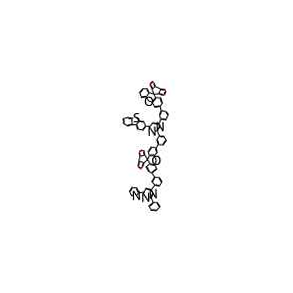 c1ccc(-c2nc(-c3cccc(-c4ccc5c(c4)Oc4cc(-c6cccc(-c7nc(-c8cccc(-c9ccc%10c(c9)Oc9ccccc9C%109c%10ccccc%10-c%10ccccc%109)c8)cc(-c8ccc9c(c8)sc8ccccc89)n7)c6)ccc4C54c5ccccc5-c5ccccc54)c3)cc(-c3ccccn3)n2)cc1